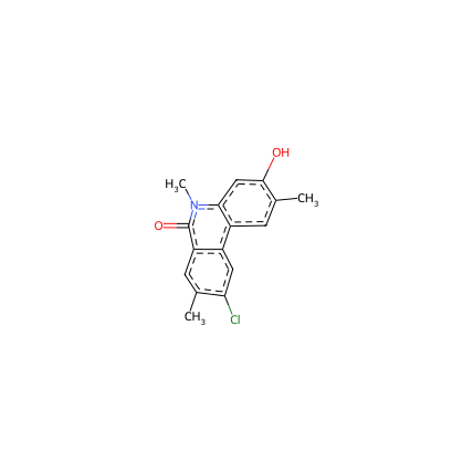 Cc1cc2c3cc(Cl)c(C)cc3c(=O)n(C)c2cc1O